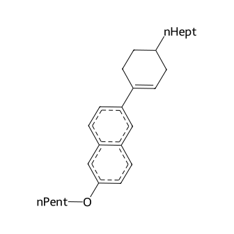 CCCCCCCC1CC=C(c2ccc3cc(OCCCCC)ccc3c2)CC1